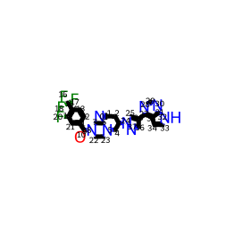 N#CCC(CN1CCN(C(=O)c2ccc(C(F)(F)F)c(F)c2)CC1)n1cc(-c2ncnc3[nH]ccc23)cn1